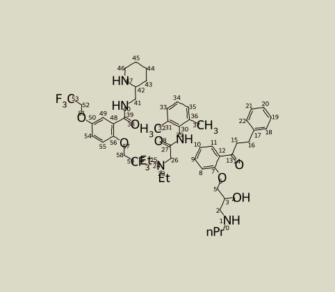 CCCNCC(O)COc1ccccc1C(=O)CCc1ccccc1.CCN(CC)CC(=O)Nc1c(C)cccc1C.O=C(NCC1CCCCN1)c1cc(OCC(F)(F)F)ccc1OCC(F)(F)F